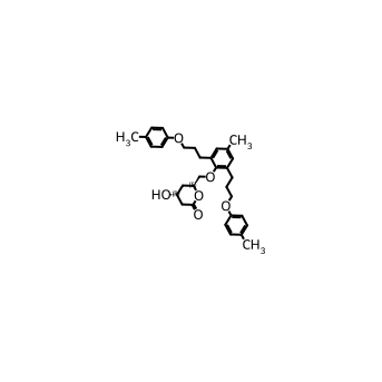 Cc1ccc(OCCCc2cc(C)cc(CCCOc3ccc(C)cc3)c2OC[C@@H]2C[C@@H](O)CC(=O)O2)cc1